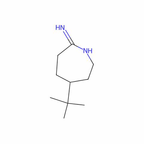 CC(C)(C)C1CCNC(=N)CC1